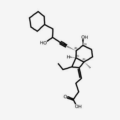 CCC1C(=CCCC(=O)O)[C@]2(C)CC[C@H](O)[C@@H](C#CC(O)CC3CCCCC3)[C@H]12